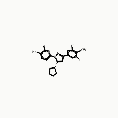 Cc1nc(N2N=C(c3cc(F)c(O)c(F)c3)C[C@@H]2C2CCCC2)ccc1C#N